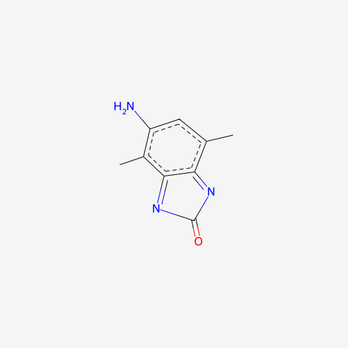 Cc1cc(N)c(C)c2c1=NC(=O)N=2